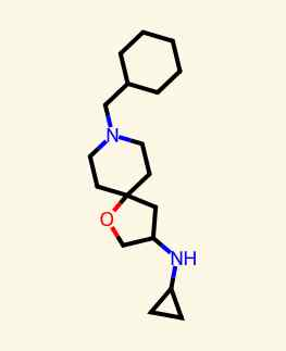 C1CCC(CN2CCC3(CC2)CC(NC2CC2)CO3)CC1